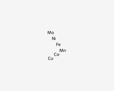 [Co].[Cu].[Fe].[Mn].[Mo].[Ni]